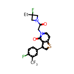 CCC1(F)CN(C(=O)Cn2ccc3scc(-c4ccc(F)c(C(F)(F)F)c4)c3c2=O)C1